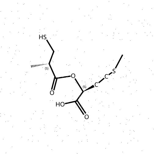 CSCC[C@H](OC(=O)[C@H](C)CS)C(=O)O